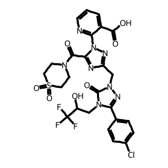 O=C(O)c1cccnc1-n1nc(Cn2nc(-c3ccc(Cl)cc3)n(CC(O)C(F)(F)F)c2=O)nc1C(=O)N1CCS(=O)(=O)CC1